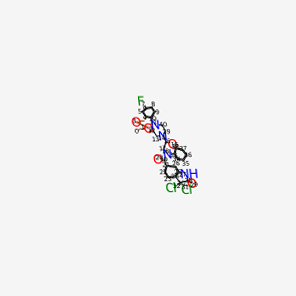 CS(=O)(=O)c1cc(F)ccc1N1CCN(C(=O)CN(C(=O)c2ccc3c(c2)NC(=O)C3(Cl)Cl)c2ccccc2)CC1